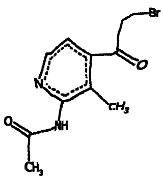 CC(=O)Nc1nccc(C(=O)CBr)c1C